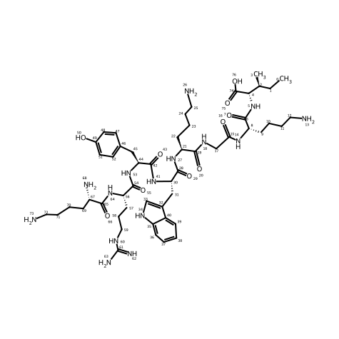 CC[C@H](C)[C@H](NC(=O)[C@H](CCCCN)NC(=O)CNC(=O)[C@H](CCCCN)NC(=O)[C@H](Cc1c[nH]c2ccccc12)NC(=O)[C@H](Cc1ccc(O)cc1)NC(=O)[C@H](CCCNC(=N)N)NC(=O)[C@@H](N)CCCCN)C(=O)O